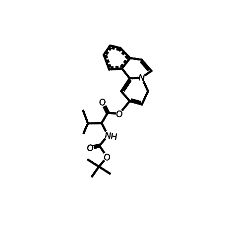 CC(C)C(NC(=O)OC(C)(C)C)C(=O)OC1=CCN2C=Cc3ccccc3C2=C1